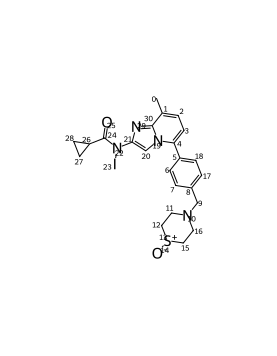 Cc1ccc(-c2ccc(CN3CC[S+]([O-])CC3)cc2)n2cc(N(I)C(=O)C3CC3)nc12